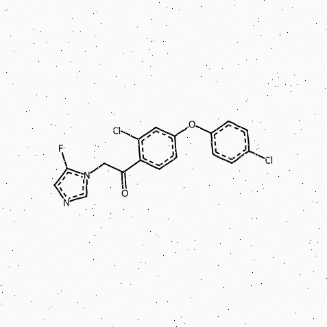 O=C(Cn1cncc1F)c1ccc(Oc2ccc(Cl)cc2)cc1Cl